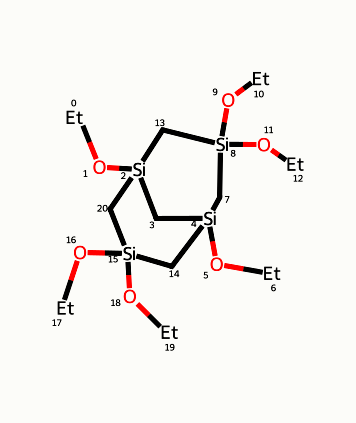 CCO[Si]12C[Si](OCC)(C[Si](OCC)(OCC)C1)C[Si](OCC)(OCC)C2